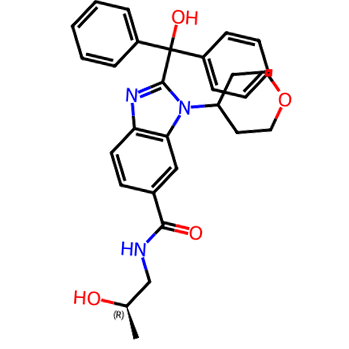 C[C@@H](O)CNC(=O)c1ccc2nc(C(O)(c3ccccc3)c3ccccc3)n(C3CCOCC3)c2c1